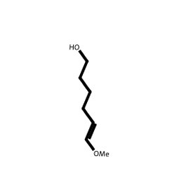 CO/C=C/CCCCO